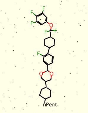 CCCCCC1CCC(C2COC(c3ccc(C4CCC(C(F)(F)Oc5cc(F)c(F)c(F)c5)CC4)c(F)c3)OC2)CC1